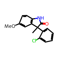 COc1ccc2c(c1)C(C)(c1ccccc1Cl)C(=O)N2